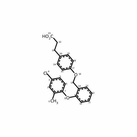 Cc1cc(Cl)ccc1Oc1ccccc1COc1ccc(CCC(=O)O)cc1